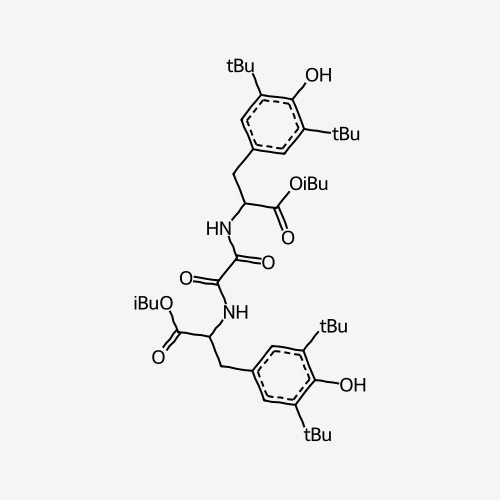 CC(C)COC(=O)C(Cc1cc(C(C)(C)C)c(O)c(C(C)(C)C)c1)NC(=O)C(=O)NC(Cc1cc(C(C)(C)C)c(O)c(C(C)(C)C)c1)C(=O)OCC(C)C